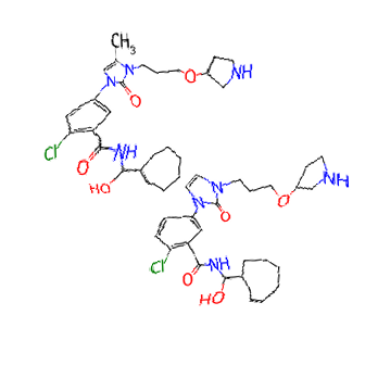 Cc1cn(-c2ccc(Cl)c(C(=O)NC(O)C3CCCCCC3)c2)c(=O)n1CCCOC1CCNC1.O=C(NC(O)C1CCCCCC1)c1cc(-n2ccn(CCCOC3CCNC3)c2=O)ccc1Cl